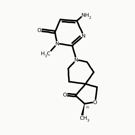 C[C@@H]1OCC2(CCN(c3nc(N)cc(=O)n3C)CC2)C1=O